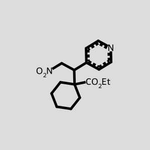 CCOC(=O)C1(C(C[N+](=O)[O-])c2ccncc2)CCCCC1